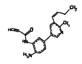 C#CC(=O)Nc1cc(-c2cnc(C)c(/C=C\CC)c2)ccc1N